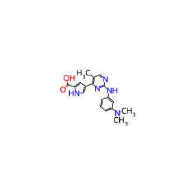 Cc1cnc(Nc2cccc(N(C)C)c2)nc1-c1c[nH]c(C(=O)O)c1